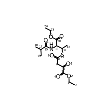 CCOC(=O)C(=O)CC(=O)SC(C)C(NC(=O)C(C)C)C(=O)OCC